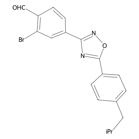 CC(C)Cc1ccc(-c2nc(-c3ccc(C=O)c(Br)c3)no2)cc1